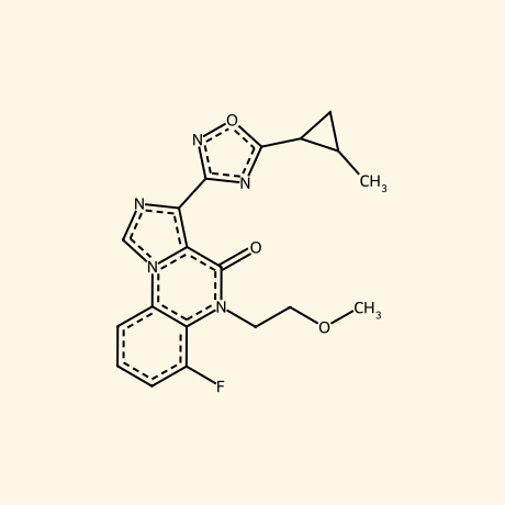 COCCn1c(=O)c2c(-c3noc(C4CC4C)n3)ncn2c2cccc(F)c21